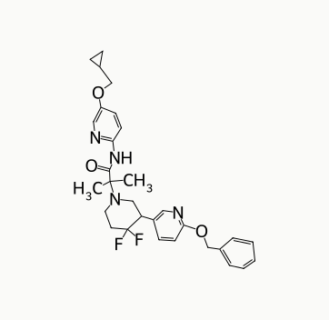 CC(C)(C(=O)Nc1ccc(OCC2CC2)cn1)N1CCC(F)(F)C(c2ccc(OCc3ccccc3)nc2)C1